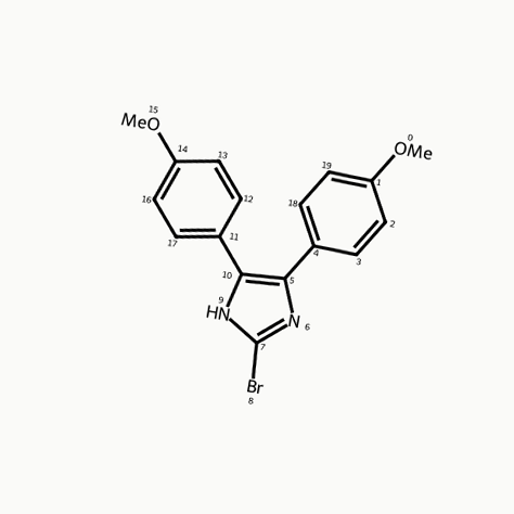 COc1ccc(-c2nc(Br)[nH]c2-c2ccc(OC)cc2)cc1